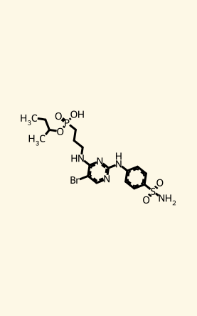 CCC(C)OP(=O)(O)CCCNc1nc(Nc2ccc(S(N)(=O)=O)cc2)ncc1Br